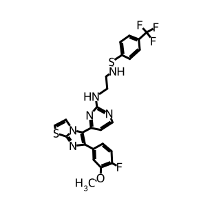 COc1cc(-c2nc3sccn3c2-c2ccnc(NCCNSc3ccc(C(F)(F)F)cc3)n2)ccc1F